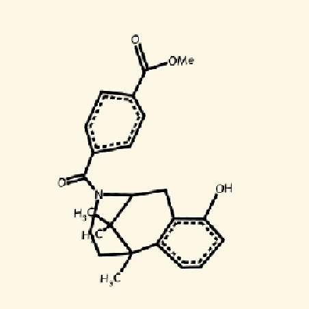 COC(=O)c1ccc(C(=O)N2CCC3(C)c4cccc(O)c4CC2C3(C)C)cc1